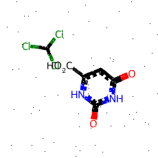 ClC(Cl)Cl.O=C(O)c1cc(=O)[nH]c(=O)[nH]1